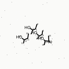 CCC(C)O.CCC(C)O.CCC(C)O.CCC(C)O.[Al]